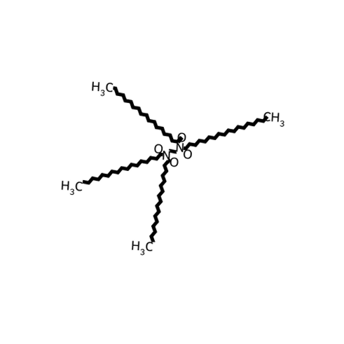 CCCCCCCCCCCCCCCCCC(=O)N(CCN(C(=O)CCCCCCCCCCCCCCCCC)C(=O)CCCCCCCCCCCCCCCCC)C(=O)CCCCCCCCCCCCCCCCC